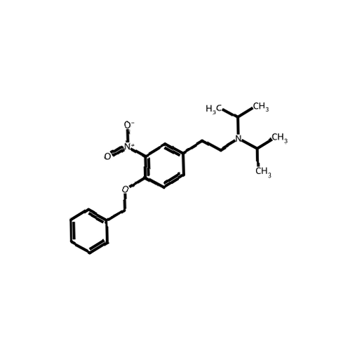 CC(C)N(CCc1ccc(OCc2ccccc2)c([N+](=O)[O-])c1)C(C)C